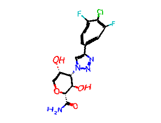 NC(=O)[C@@H]1OC[C@H](O)[C@H](n2cc(-c3cc(F)c(Cl)c(F)c3)nn2)[C@H]1O